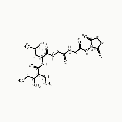 CCC(C)[C@H](NC)C(=O)N[C@@H](CC(C)C)C(=O)NCC(=O)NCC(=O)ON1C(=O)CCC1=O